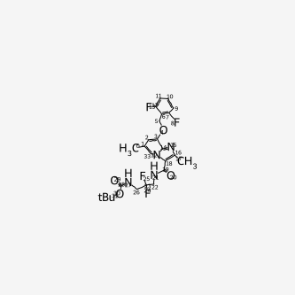 Cc1cc(OCc2c(F)cccc2F)c2nc(C)c(C(=O)NCC(F)(F)CNC(=O)OC(C)(C)C)n2c1